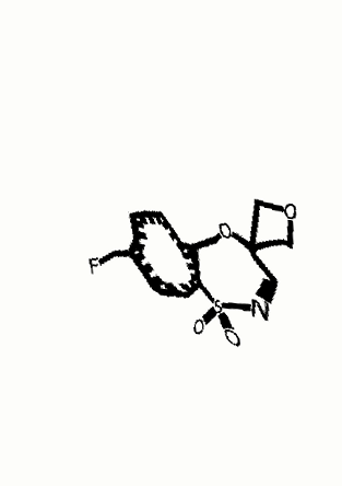 O=S1(=O)N=CC2(COC2)Oc2ccc(F)cc21